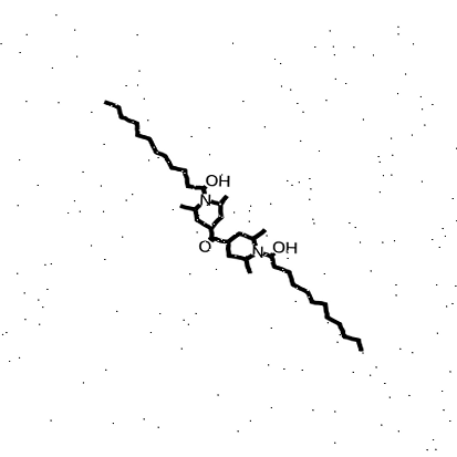 CCCCCCCCCCCC(O)N1C(C)CC(C(=O)C2CC(C)N(C(O)CCCCCCCCCCC)C(C)C2)CC1C